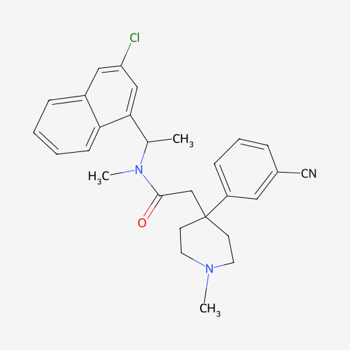 CC(c1cc(Cl)cc2ccccc12)N(C)C(=O)CC1(c2cccc(C#N)c2)CCN(C)CC1